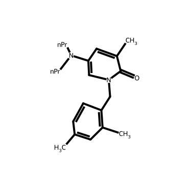 CCCN(CCC)c1cc(C)c(=O)n(Cc2ccc(C)cc2C)c1